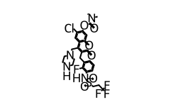 CN(C)C(=O)Oc1cc2oc(=O)c(Cc3cccc(NS(=O)(=O)CCC(F)(F)F)c3F)c(CN3CCNCC3)c2cc1Cl